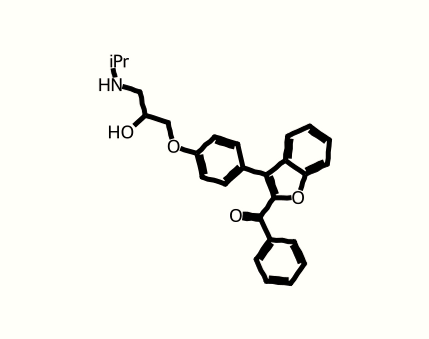 CC(C)NCC(O)COc1ccc(-c2c(C(=O)c3ccccc3)oc3ccccc23)cc1